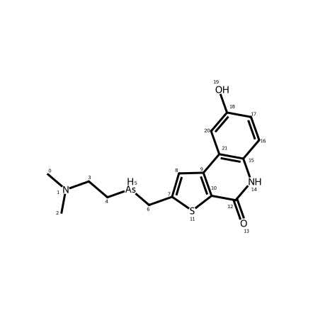 CN(C)CC[AsH]Cc1cc2c(s1)c(=O)[nH]c1ccc(O)cc12